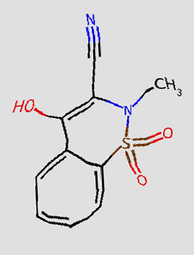 CN1C(C#N)=C(O)c2ccccc2S1(=O)=O